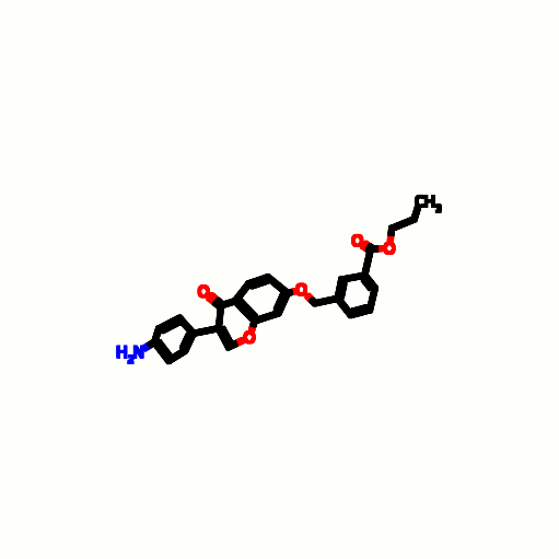 CCCOC(=O)c1cccc(COc2ccc3c(=O)c(-c4ccc(N)cc4)coc3c2)c1